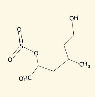 CC(CCO)CC(C=O)O[SH](=O)=O